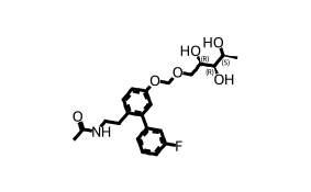 CC(=O)NCCc1ccc(OCOC[C@@H](O)[C@H](O)[C@H](C)O)cc1-c1cccc(F)c1